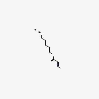 C/C=C/C(=O)OCCCCCN=C=O